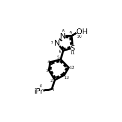 CC(C)Cc1ccc(-c2nnc(O)s2)cc1